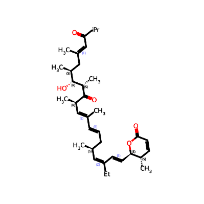 CCC(=C/[C@@H](C)C/C=C/C(C)=C/[C@@H](C)C(=O)[C@@H](C)[C@H](O)[C@@H](C)C/C(C)=C/C(=O)C(C)C)/C=C/[C@H]1OC(=O)C=C[C@@H]1C